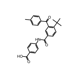 Cc1ccc(C(=O)c2cc(C(=O)Nc3ccc(C(=O)O)cc3)ccc2C(C)(C)C)cc1